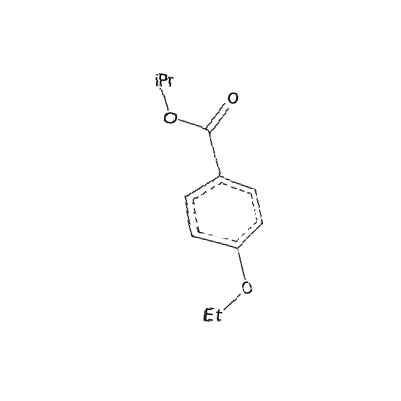 CCOc1ccc(C(=O)OC(C)C)cc1